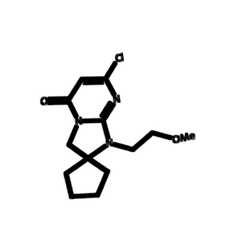 COCCN1c2nc(Cl)cc(=O)n2CC12CCCC2